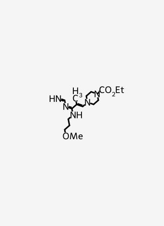 CCOC(=O)N1CCN(/C=C(C)/C(=N\C=N)NCCCOC)CC1